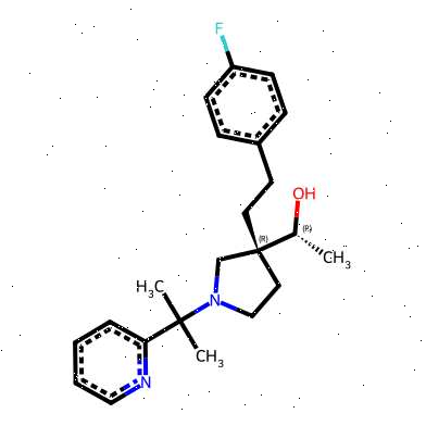 C[C@@H](O)[C@]1(CCc2ccc(F)cc2)CCN(C(C)(C)c2ccccn2)C1